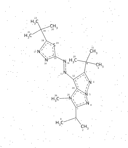 CC(C)c1nn2nc(C(C)(C)C)c(N=Nc3nnc(C(C)(C)C)s3)c2n1C